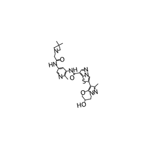 Cc1ncc(NC(=O)CN2CC(C)(C)C2)cc1NC(=O)c1cnn2cc(-c3c(C)nn4c3OCC(O)C4)sc12